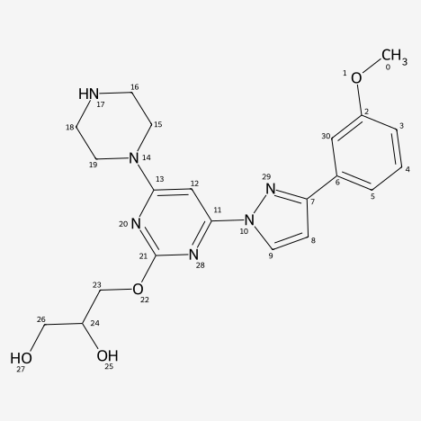 COc1cccc(-c2ccn(-c3cc(N4CCNCC4)nc(OCC(O)CO)n3)n2)c1